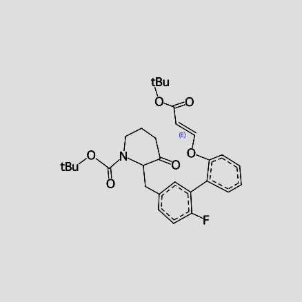 CC(C)(C)OC(=O)/C=C/Oc1ccccc1-c1cc(CC2C(=O)CCCN2C(=O)OC(C)(C)C)ccc1F